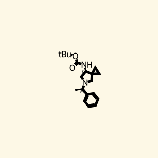 C[C@H](c1ccccc1)N1C[C@@H](NC(=O)OC(C)(C)C)C2(CC2)C1